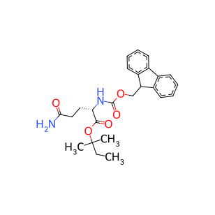 CCC(C)(C)OC(=O)[C@H](CCC(N)=O)NC(=O)OCC1c2ccccc2-c2ccccc21